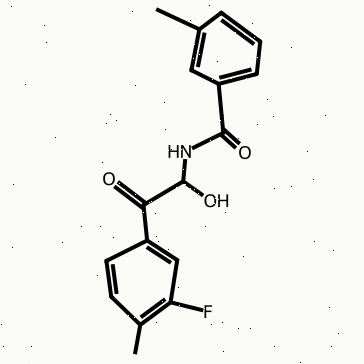 Cc1cccc(C(=O)NC(O)C(=O)c2ccc(C)c(F)c2)c1